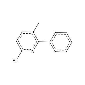 CCc1ccc(C)c(-c2ccccc2)n1